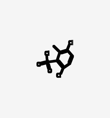 Cc1c(Cl)ccc(Cl)c1S(=O)(=O)Cl